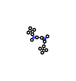 c1ccc(N(c2ccc(-c3ccc4c(c3)c3cc(-c5ccc(C6(c7ccccc7)c7ccccc7-c7ccccc76)cc5)ccc3n4-c3ccccc3)cc2)c2ccc3c(c2)-c2ccccc2C32c3ccccc3-c3ccccc32)cc1